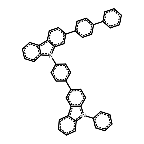 c1ccc(-c2ccc(-c3ccc4c5ccccc5n(-c5ccc(-c6ccc7c(c6)c6ccccc6n7-c6ccccc6)cc5)c4c3)cc2)cc1